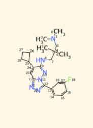 CN(C)CC(C)(C)CNc1nn2c(-c3cccc(F)c3)nnc2cc1C1CCC1